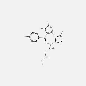 CCNC[C@@H]1C[C@]12N=C(c1ccc(Cl)cc1)c1c(sc(C)c1C)-n1c(C)nnc12